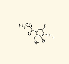 COC(=O)c1cc(F)c(C)c(Br)c1CBr